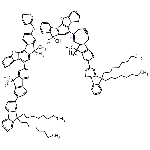 CCCCCCCCC1(CCCCCCCC)c2ccccc2-c2ccc(-c3ccc4c(c3)C(C)(C)C3=C4CC#CC/C(c4cc5c(c6c4C4CC=CC=C4O6)-c4ccc(N(c6ccccc6)c6ccc7c(c6)C(C)(C)c6cc(-c8ccc9c(c8)C(C)(C)c8cc(-c%10ccc%11c(c%10)C(CCCCCCCC)(CCCCCCCC)c%10ccccc%10-%11)ccc8-9)c8c(oc9ccccc98)c6-7)cc4C5(C)C)=C\3)cc21